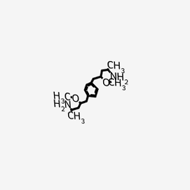 COC(Cc1ccc(CC(CC(C)N)OC)cc1)CC(C)N